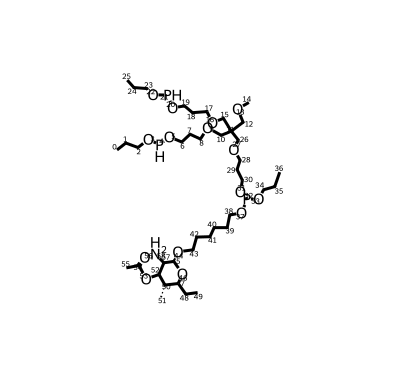 CCCOPOCCCOCC(COC)(COCCCOPOCCC)COCCCOP(OCCC)OCCCCCCO[C@@H]1OC(CC)[C@H](C)C(OC(C)=O)C1N